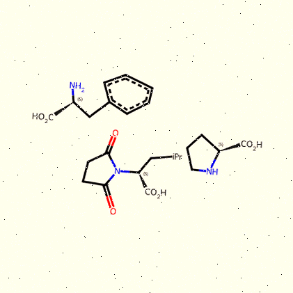 CC(C)C[C@@H](C(=O)O)N1C(=O)CCC1=O.N[C@@H](Cc1ccccc1)C(=O)O.O=C(O)[C@@H]1CCCN1